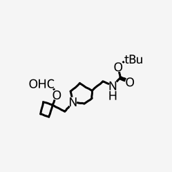 CC(C)(C)OC(=O)NCC1CCN(CC2(OC=O)CCC2)CC1